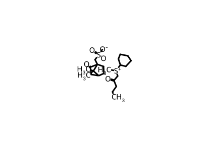 CC1(C)C2CCC1(CS(=O)(=O)[O-])C(=O)C2.CCCC(=O)C[S+](C)C1CCCCC1